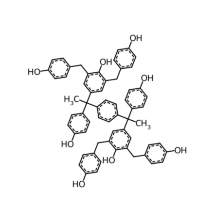 CC(c1ccc(O)cc1)(c1ccc(C(C)(c2ccc(O)cc2)c2cc(Cc3ccc(O)cc3)c(O)c(Cc3ccc(O)cc3)c2)cc1)c1cc(Cc2ccc(O)cc2)c(O)c(Cc2ccc(O)cc2)c1